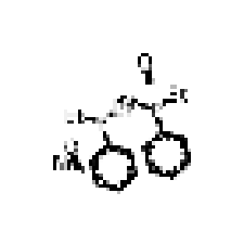 CCP(CC)c1ccccc1.CCP(CC)c1ccccc1.[C]=O.[C]=O.[Ni]